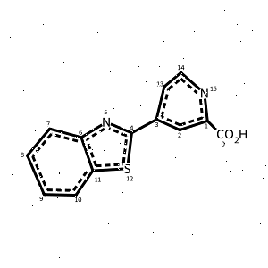 O=C(O)c1cc(-c2nc3ccccc3s2)ccn1